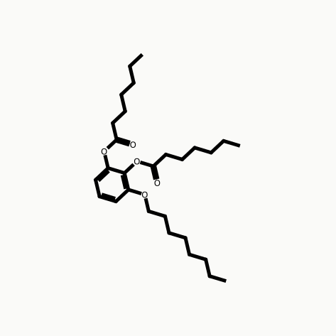 CCCCCCCCOc1cccc(OC(=O)CCCCCC)c1OC(=O)CCCCCC